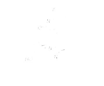 C=CCN1C[C@H](C)N([C@@H](c2cccc(O)c2)c2cccc(C(=O)N(CC)c3ccccc3F)c2)C[C@H]1C